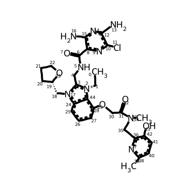 CC[n+]1c(CNC(=O)c2nc(Cl)c(N)nc2N)n(C[C@@H]2CCCO2)c2cccc(OCC(=O)N(C)Cc3nc(C)ccc3O)c21